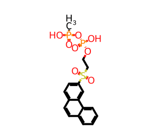 CP(=O)(O)OP(=O)(O)OCCS(=O)(=O)c1ccc2ccc3ccccc3c2c1